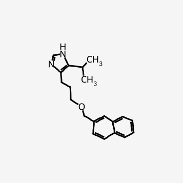 CC(C)c1[nH]cnc1CCCOCc1ccc2ccccc2c1